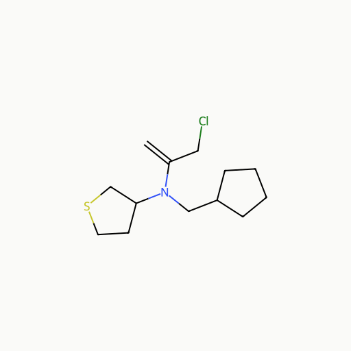 C=C(CCl)N(CC1CCCC1)C1CCSC1